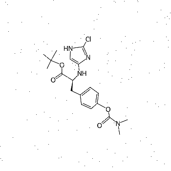 CN(C)C(=O)Oc1ccc(C[C@H](Nc2c[nH]c(Cl)n2)C(=O)OC(C)(C)C)cc1